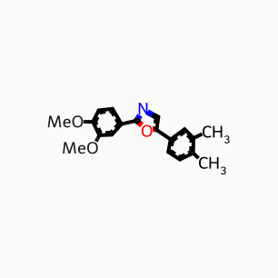 COc1ccc(-c2ncc(-c3ccc(C)c(C)c3)o2)cc1OC